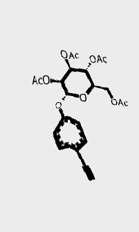 C#Cc1ccc(O[C@H]2O[C@H](COC(C)=O)[C@@H](OC(C)=O)[C@H](OC(C)=O)[C@@H]2OC(C)=O)cc1